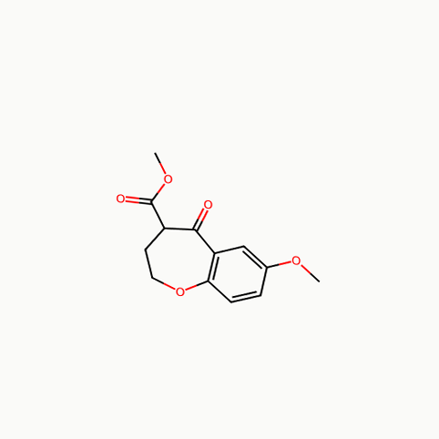 COC(=O)C1CCOc2ccc(OC)cc2C1=O